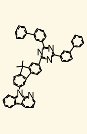 CC1(C)c2ccc(-n3c4ccccc4c4cccnc43)cc2-c2ccc(-c3nc(-c4cccc(-c5ccccc5)c4)nc(-c4cccc(-c5ccccc5)c4)n3)cc21